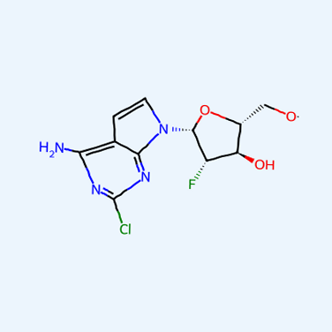 Nc1nc(Cl)nc2c1ccn2[C@@H]1O[C@H](C[O])[C@@H](O)[C@@H]1F